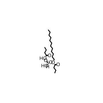 CCCC(=O)O.CCCCCCCCCCCCOC(=O)CCC.O=[SH](=O)O